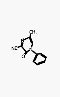 Cc1cn(-c2ccccc2)c(=O)c(C#N)n1